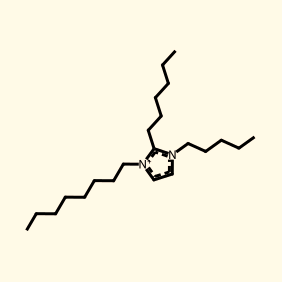 CCCCCCCC[n+]1ccn(CCCCC)c1CCCCCC